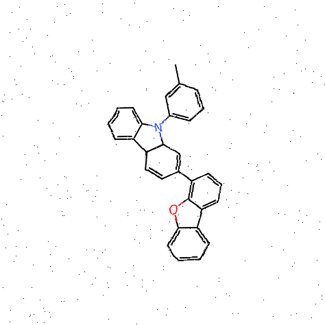 Cc1cccc(N2c3ccccc3C3C=CC(c4cccc5c4oc4ccccc45)=CC32)c1